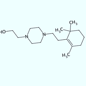 CC1=C(CCN2CCN(CCO)CC2)C(C)(C)CCC1